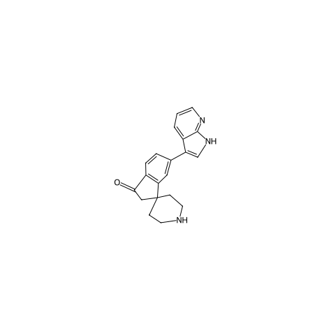 O=C1CC2(CCNCC2)c2cc(-c3c[nH]c4ncccc34)ccc21